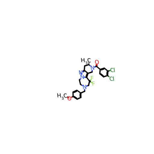 COc1ccc(CN2CCn3nc4c(c3C(F)(F)C2)CN(C(=O)c2ccc(Cl)c(Cl)c2)[C@H](C)C4)cc1